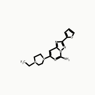 Nc1nc(N2CCN(CC(F)(F)F)CC2)cc2nc(-c3ccco3)nn12